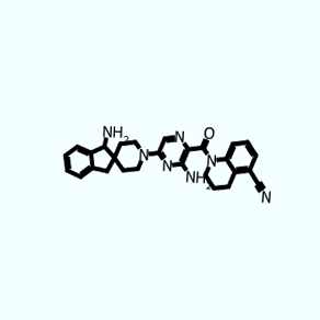 N#Cc1cccc2c1CCCN2C(=O)c1ncc(N2CCC3(CC2)Cc2ccccc2C3N)nc1N